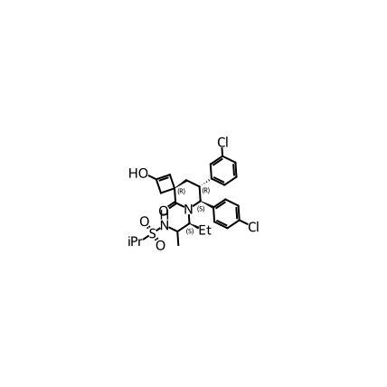 CC[C@@H](C(C)NS(=O)(=O)C(C)C)N1C(=O)[C@]2(C=C(O)C2)C[C@H](c2cccc(Cl)c2)[C@H]1c1ccc(Cl)cc1